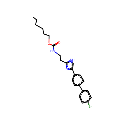 CCCCCCOC(=O)NCCc1nc(-c2ccc(-c3ccc(Br)cc3)cc2)c[nH]1